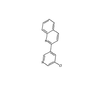 Clc1cn[c]c(-c2ccc3ccccc3n2)c1